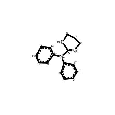 c1ccc(N(C2=NCCCO2)c2ccccc2)cc1